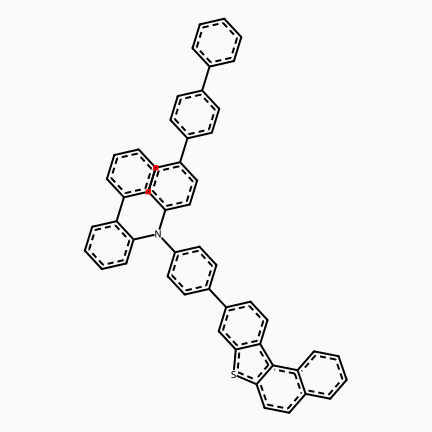 c1ccc(-c2ccc(-c3ccc(N(c4ccc(-c5ccc6c(c5)sc5ccc7ccccc7c56)cc4)c4ccccc4-c4ccccc4)cc3)cc2)cc1